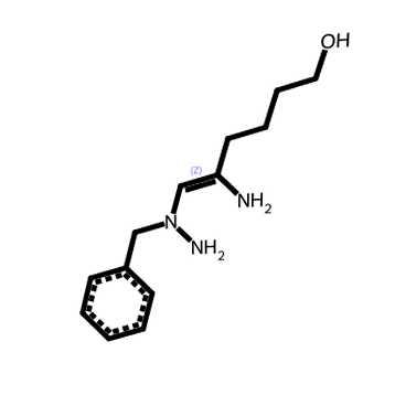 N/C(=C\N(N)Cc1ccccc1)CCCCO